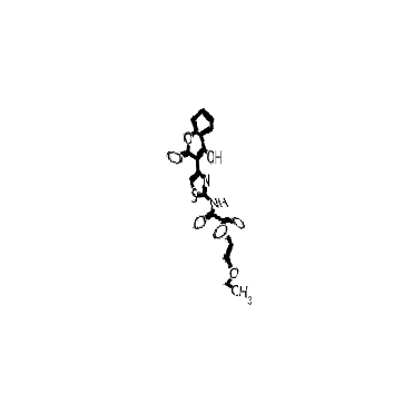 CCOCCOC(=O)C(=O)Nc1nc(-c2c(O)c3ccccc3oc2=O)cs1